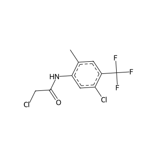 Cc1cc(C(F)(F)F)c(Cl)cc1NC(=O)CCl